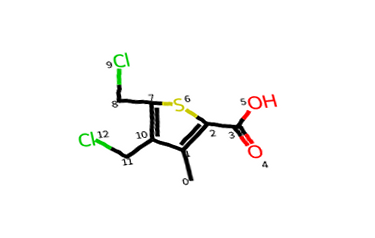 Cc1c(C(=O)O)sc(CCl)c1CCl